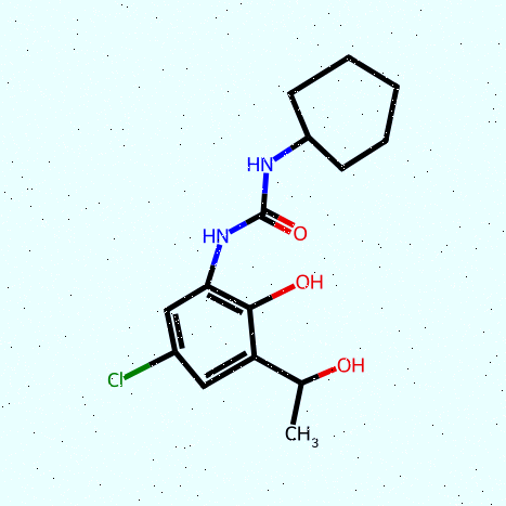 CC(O)c1cc(Cl)cc(NC(=O)NC2CCCCC2)c1O